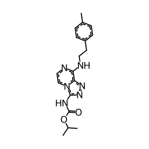 Cc1ccc(CCNc2nccn3c(NC(=O)OC(C)C)nnc23)cc1